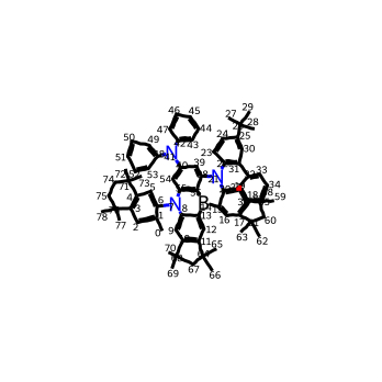 Cc1cc2c(cc1N1c3cc4c(cc3B3c5cc6c(cc5N(c5ccc(C(C)(C)C)cc5-c5ccccc5)c5cc(N(c7ccccc7)c7ccccc7)cc1c53)C(C)(C)CC6(C)C)C(C)(C)CC4(C)C)C(C)(C)CCC2(C)C